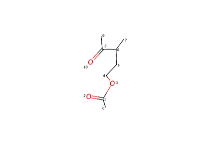 CC(=O)OCCC(C)C(C)=O